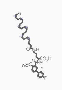 CC/C=C\C/C=C\C/C=C\C/C=C\C/C=C\C/C=C\CCC(=O)NCCCC(NC(=O)c1cc(-c2ccc(F)cc2F)ccc1OC(C)=O)C(=O)O